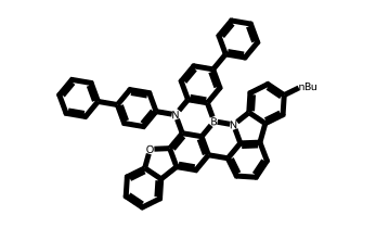 CCCCc1ccc2c(c1)c1cccc3c1n2B1c2cc(-c4ccccc4)ccc2N(c2ccc(-c4ccccc4)cc2)c2c1c-3cc1c2oc2ccccc21